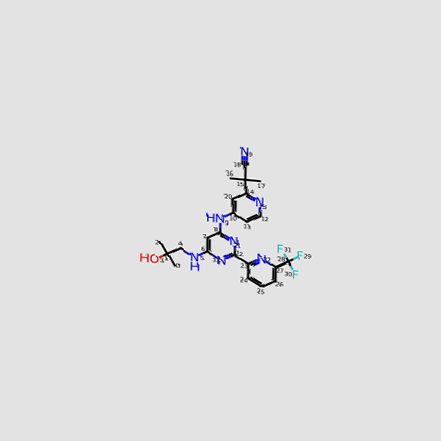 CC(C)(O)CNc1cc(Nc2ccnc(C(C)(C)C#N)c2)nc(-c2cccc(C(F)(F)F)n2)n1